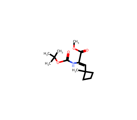 COC(=O)/C(=C/C1(C)CCC1)NC(=O)OC(C)(C)C